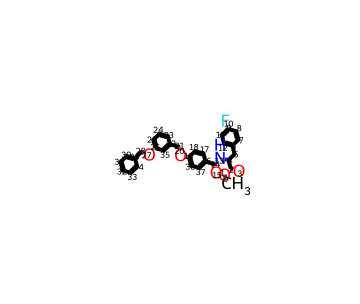 COC(=O)C(Cc1ccc(F)cc1)NC(=O)c1ccc(OCc2cccc(OCc3ccccc3)c2)cc1